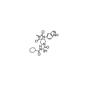 CC(C)C(NC(=O)C1CCCCC1)C(=O)N1CCC2(CC1)C(=O)N(C)C(=O)N2c1ccc2[nH]ncc2c1